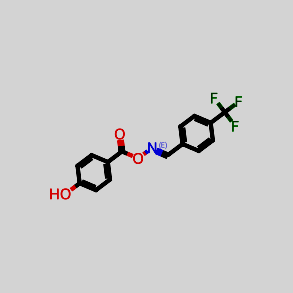 O=C(O/N=C/c1ccc(C(F)(F)F)cc1)c1ccc(O)cc1